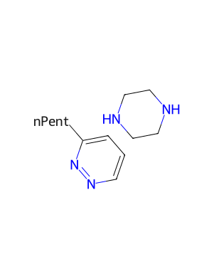 C1CNCCN1.CCCCCc1cccnn1